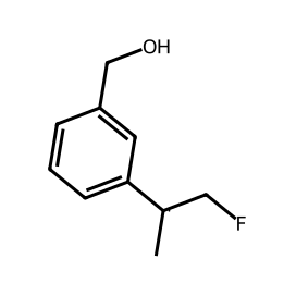 C[C](CF)c1cccc(CO)c1